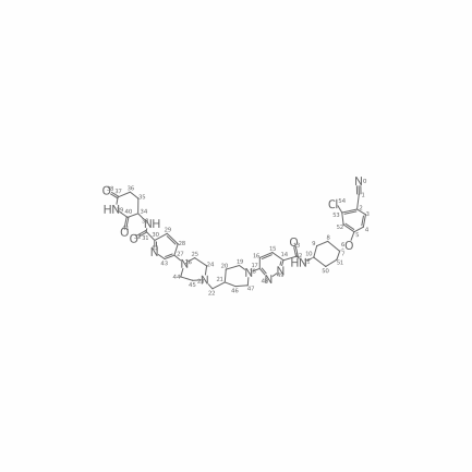 N#Cc1ccc(O[C@H]2CC[C@H](NC(=O)c3ccc(N4CCC(CN5CCN(c6ccc(C(=O)NC7CCC(=O)NC7=O)nc6)CC5)CC4)nn3)CC2)cc1Cl